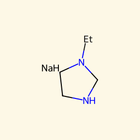 CCN1CCNC1.[NaH]